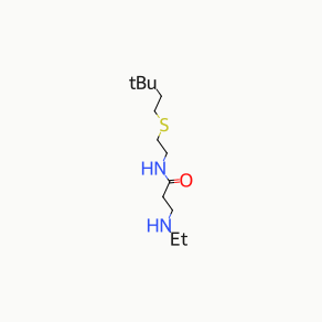 CCNCCC(=O)NCCSCCC(C)(C)C